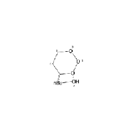 C1COOOC1.CCCCO